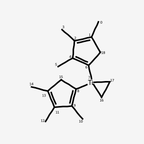 CC1=C(C)C(C)=[C]([Ti]2([C]3=C(C)C(C)=C(C)C3)[CH2][CH2]2)C1